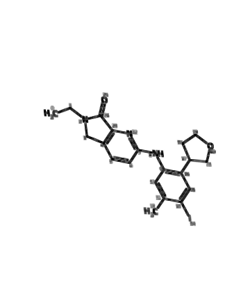 CCN1Cc2ccc(Nc3cc(C)c(I)cc3C3CCOC3)nc2C1=O